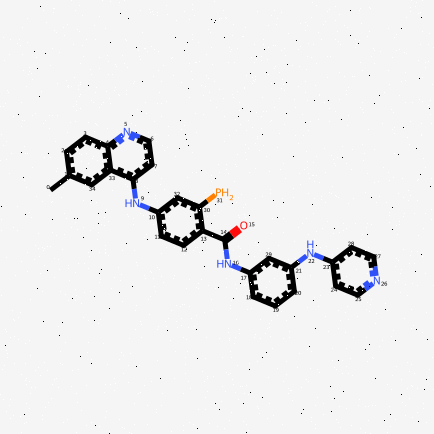 Cc1ccc2nccc(Nc3ccc(C(=O)Nc4cccc(Nc5ccncc5)c4)c(P)c3)c2c1